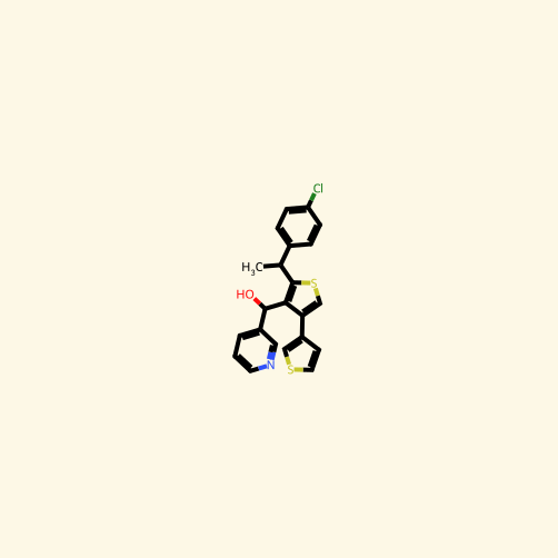 CC(c1ccc(Cl)cc1)c1scc(-c2ccsc2)c1C(O)c1cccnc1